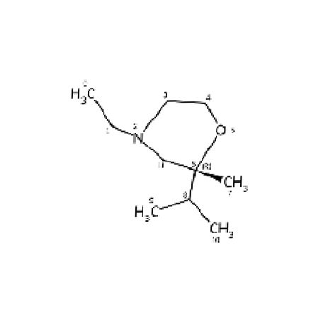 CCN1CCO[C@](C)(C(C)C)C1